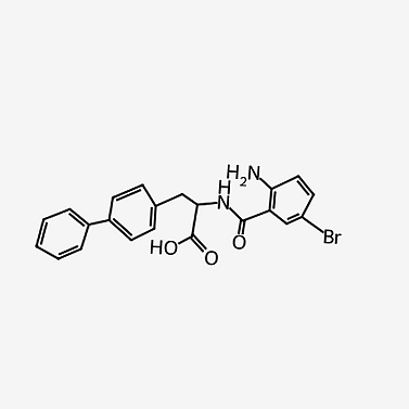 Nc1ccc(Br)cc1C(=O)NC(Cc1ccc(-c2ccccc2)cc1)C(=O)O